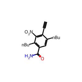 C#Cc1c(CCCC)cc(C(N)=O)c(CCCC)c1[N+](=O)[O-]